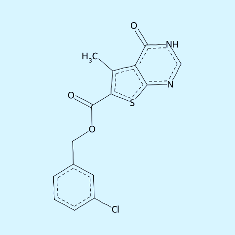 Cc1c(C(=O)OCc2cccc(Cl)c2)sc2nc[nH]c(=O)c12